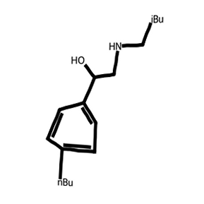 CCCCc1ccc(C(O)CNCC(C)CC)cc1